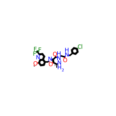 COc1ccc(-c2nc(C(=O)NCC(=O)NCc3ccc(Cl)cc3)c([C@H](C)N)o2)c2ccc(C(F)(F)F)nc12